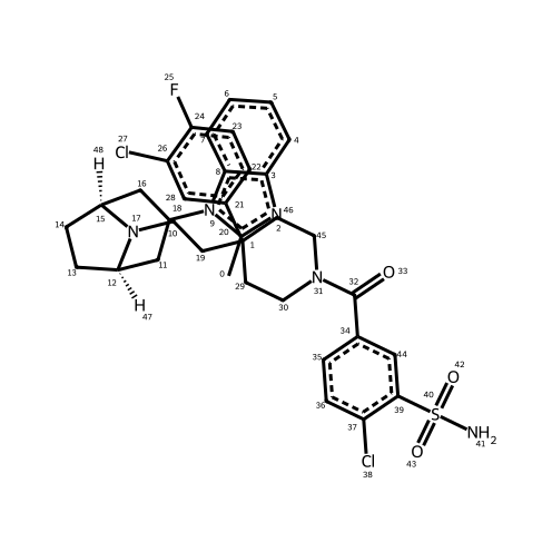 Cc1nc2ccccc2n1C1C[C@H]2CC[C@@H](C1)N2CCC1(c2ccc(F)c(Cl)c2)CCN(C(=O)c2ccc(Cl)c(S(N)(=O)=O)c2)CC1